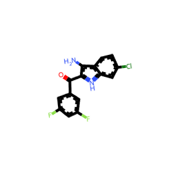 Nc1c(C(=O)c2cc(F)cc(F)c2)[nH]c2cc(Cl)ccc12